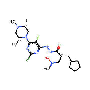 CC[C@@H]1CN(c2nc(Cl)nc(NNC(=O)[C@H](CC3CCCC3)CN(O)C=O)c2F)[C@H](C)CN1C